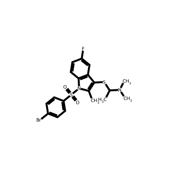 Cc1c(SC(C)N(C)C)c2cc(F)ccc2n1S(=O)(=O)c1ccc(Br)cc1